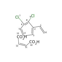 C=Cc1cccc(Cl)c1Cl.O=C(O)/C=C\C(=O)O